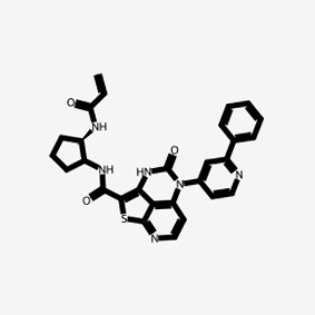 C=CC(=O)N[C@@H]1CCCC1NC(=O)c1sc2nccc3c2c1NC(=O)N3c1ccnc(-c2ccccc2)c1